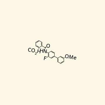 COc1cccc(-c2ccc(NC(=O)c3ccccc3C(=O)O)c(F)c2)c1